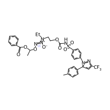 CCN(CCOC(=O)NS(=O)(=O)c1ccc(-n2nc(C(F)(F)F)cc2-c2ccc(C)cc2)cc1)/[N+]([O-])=N/OC(C)OC(=O)c1ccccc1